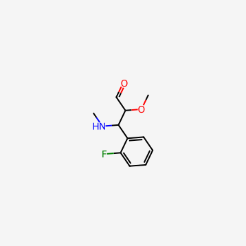 CNC(c1ccccc1F)C(C=O)OC